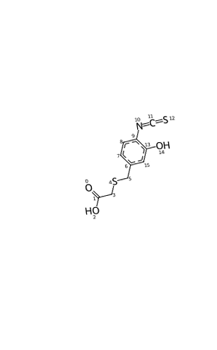 O=C(O)CSCc1ccc(N=C=S)c(O)c1